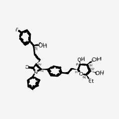 CC[C@H]1O[C@@H](CCc2ccc([C@@H]3[C@@H](CC[C@H](O)c4ccc(F)cc4)C(=O)N3c3ccccc3)cc2)[C@H](O)[C@@H](O)[C@@H]1O